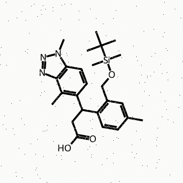 Cc1ccc(C(CC(=O)O)c2ccc3c(nnn3C)c2C)c(CO[Si](C)(C)C(C)(C)C)c1